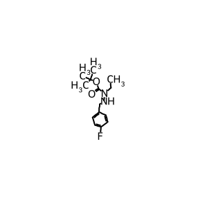 CCN(NCc1ccc(F)cc1)C(=O)OC(C)(C)C